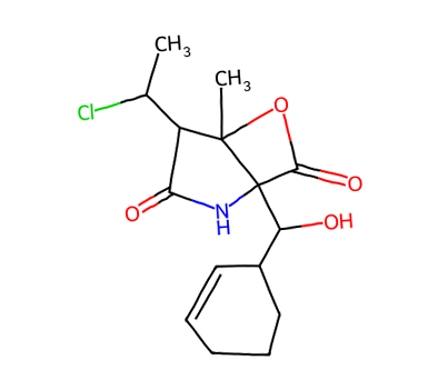 CC(Cl)C1C(=O)NC2(C(O)C3C=CCCC3)C(=O)OC12C